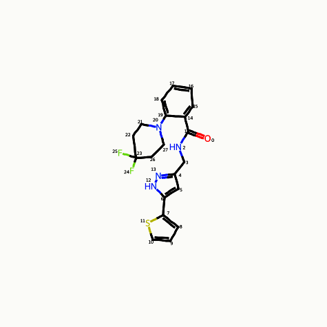 O=C(NCc1cc(-c2cccs2)[nH]n1)c1ccccc1N1CCC(F)(F)CC1